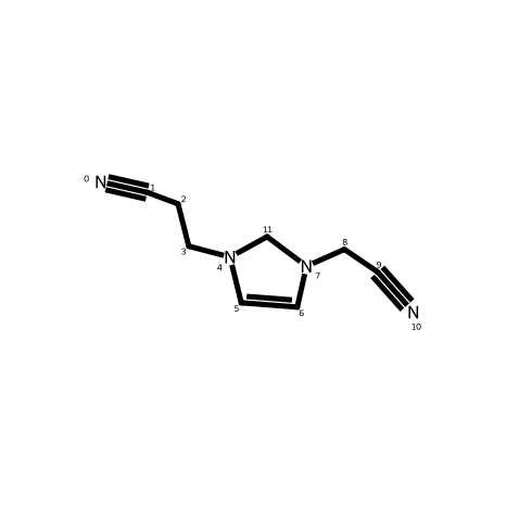 N#CCCN1C=CN(CC#N)C1